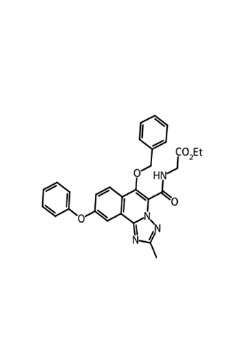 CCOC(=O)CNC(=O)c1c(OCc2ccccc2)c2ccc(Oc3ccccc3)cc2c2nc(C)nn12